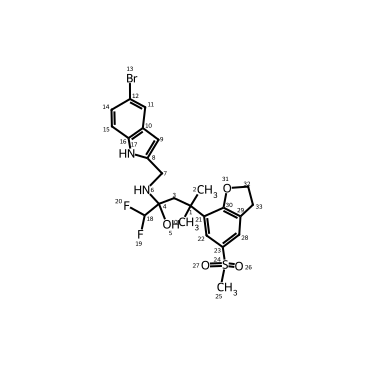 CC(C)(CC(O)(NCc1cc2cc(Br)ccc2[nH]1)C(F)F)c1cc(S(C)(=O)=O)cc2c1OCC2